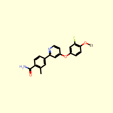 CCOc1ccc(Oc2ccnc(-c3ccc(C(N)=O)c(C)c3)c2)cc1F